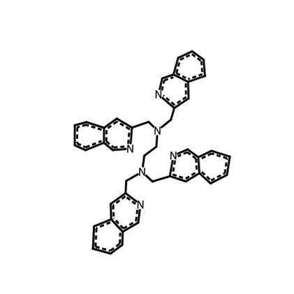 c1ccc2cc(CN(CCN(Cc3cc4ccccc4cn3)Cc3cc4ccccc4cn3)Cc3cc4ccccc4cn3)ncc2c1